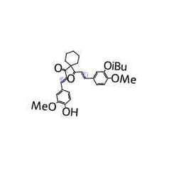 COc1cc(/C=C/C(=O)C2(C(=O)/C=C/c3ccc(OC)c(OCC(C)C)c3)CCCCC2)ccc1O